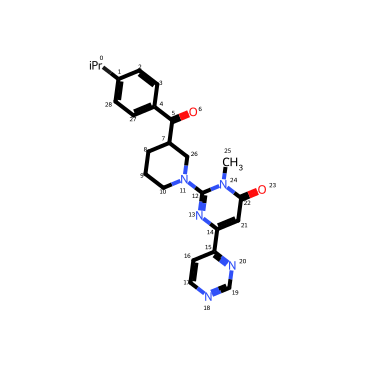 CC(C)c1ccc(C(=O)C2CCCN(c3nc(-c4ccncn4)cc(=O)n3C)C2)cc1